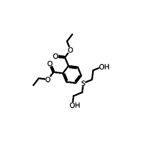 CCOC(=O)c1ccccc1C(=O)OCC.OCCSCCO